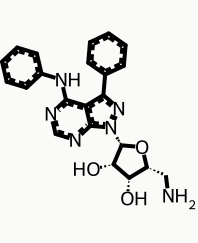 NC[C@H]1O[C@@H](n2nc(-c3ccccc3)c3c(Nc4ccccc4)ncnc32)[C@@H](O)[C@H]1O